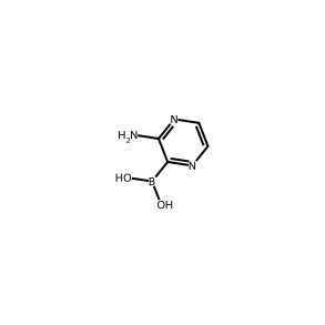 Nc1nccnc1B(O)O